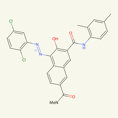 CNC(=O)c1ccc2c(/N=N/c3cc(Cl)ccc3Cl)c(O)c(C(=O)Nc3ccc(C)cc3C)cc2c1